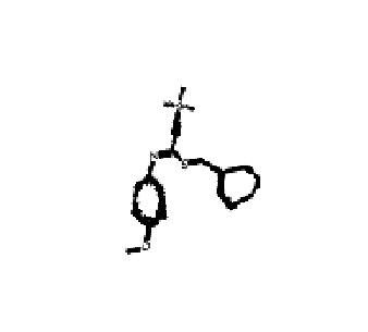 COc1ccc(N=C(C#C[Si](C)(C)C)SCC2CCCCC2)cc1